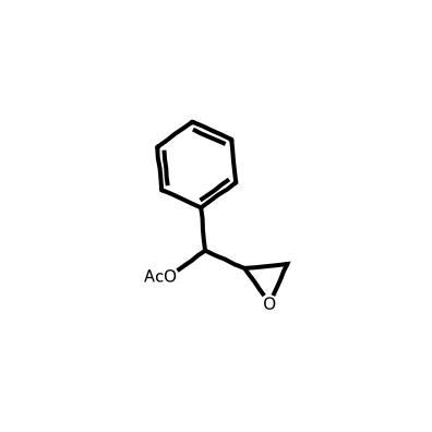 CC(=O)OC(c1ccccc1)C1CO1